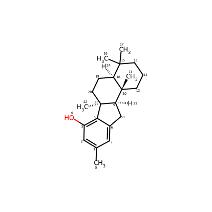 Cc1cc(O)c2c(c1)C[C@@H]1[C@@]3(C)CCCC(C)(C)[C@@H]3CC[C@]21C